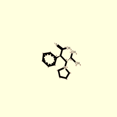 CC(=S)[C@H](c1ccccc1)[C@H](C(C)C)N1CCCC1